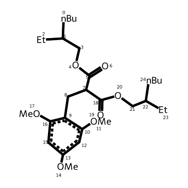 CCCCC(CC)COC(=O)C(Cc1c(OC)cc(OC)cc1OC)C(=O)OCC(CC)CCCC